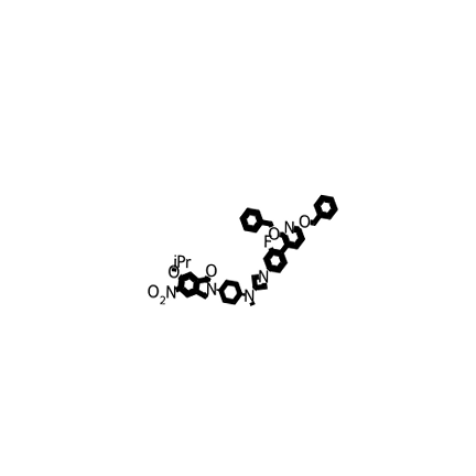 CC(C)Oc1cc2c(cc1[N+](=O)[O-])CN([C@H]1CC[C@H](N(C)C3CN(c4ccc(-c5ccc(OCc6ccccc6)nc5OCc5ccccc5)c(F)c4)C3)CC1)C2=O